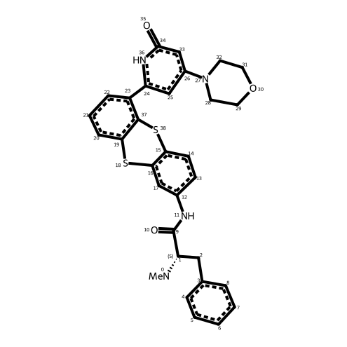 CN[C@@H](Cc1ccccc1)C(=O)Nc1ccc2c(c1)Sc1cccc(-c3cc(N4CCOCC4)cc(=O)[nH]3)c1S2